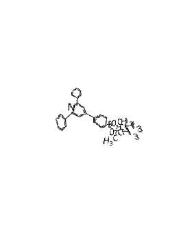 CC1(C)OB(c2ccc(-c3cc(-c4ccccc4)nc(-c4ccccc4)c3)cc2)OC1(C)C